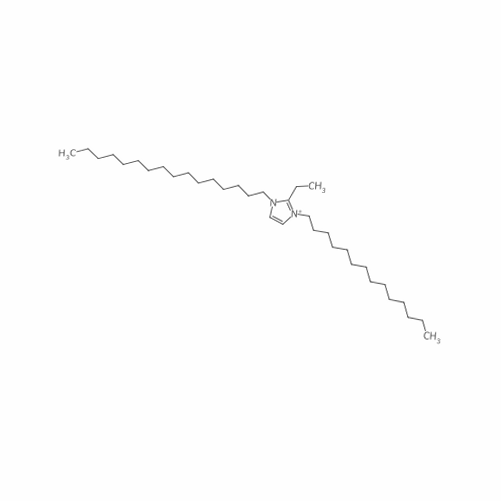 CCCCCCCCCCCCCCCCn1cc[n+](CCCCCCCCCCCCCC)c1CC